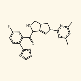 Cc1cc(C)nc(N2C=C3C(CNC3C(=O)c3cc(F)ccc3-c3ncco3)C2)n1